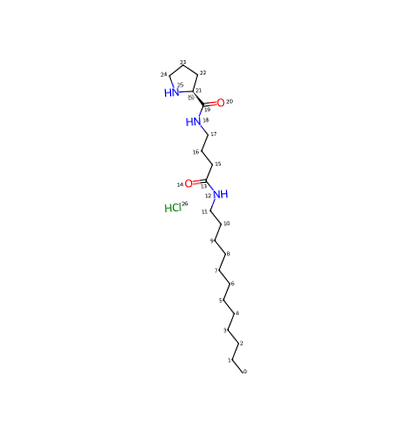 CCCCCCCCCCCCNC(=O)CCCNC(=O)[C@@H]1CCCN1.Cl